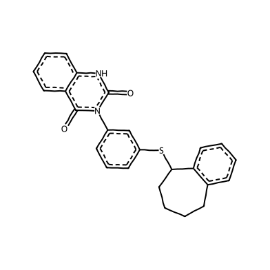 O=c1[nH]c2ccccc2c(=O)n1-c1cccc(SC2CCCCc3ccccc32)c1